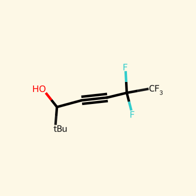 CC(C)(C)C(O)C#CC(F)(F)C(F)(F)F